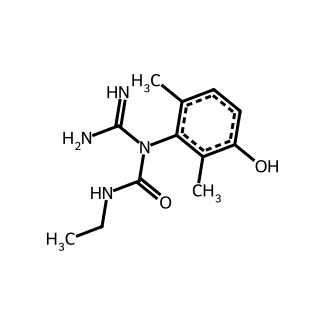 CCNC(=O)N(C(=N)N)c1c(C)ccc(O)c1C